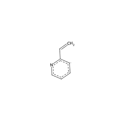 C=Cc1[c]cccn1